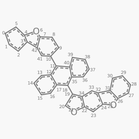 c1ccc2c(c1)oc1ccc(-c3c4ccccc4c(-c4coc5cc6oc7ccccc7c6cc45)c4ccccc34)cc12